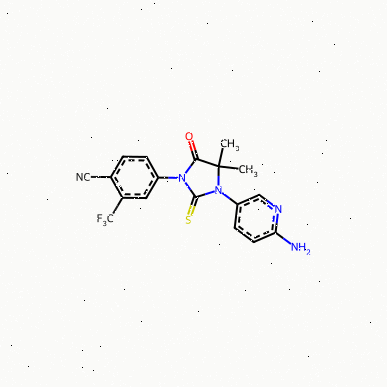 CC1(C)C(=O)N(c2ccc(C#N)c(C(F)(F)F)c2)C(=S)N1c1ccc(N)nc1